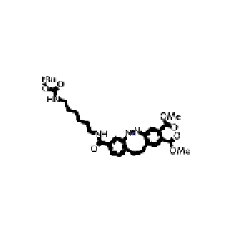 COC(=O)c1cc2c(cc1C(=O)OC)/N=N\c1cc(C(=O)NCCCCCCNC(=O)OC(C)(C)C)ccc1CC2